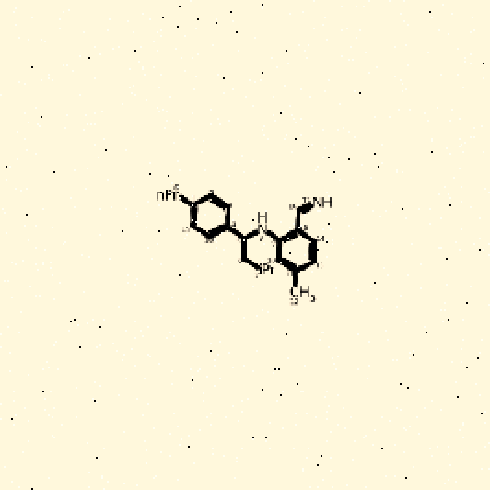 CCCc1ccc(C(CC(C)C)Nc2cc(C)ccc2C=N)cc1